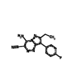 CCc1nn2c(N)c(C#N)nnc2c1-c1ccc(F)cc1